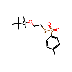 Cc1ccc(S(=O)(=O)SCCO[Si](C)(C)C(C)(C)C)cc1